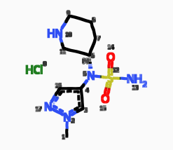 Cl.Cn1cc(N([C@H]2CCCNC2)S(N)(=O)=O)cn1